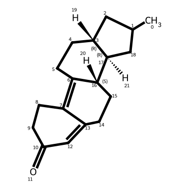 CC1C[C@H]2CCC3=C4CCC(=O)C=C4CC[C@H]3[C@@H]2C1